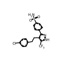 NS(=O)(=O)c1ccc(-c2n[nH]c(C(F)(F)F)c2CCc2ccc(Cl)cc2)cc1